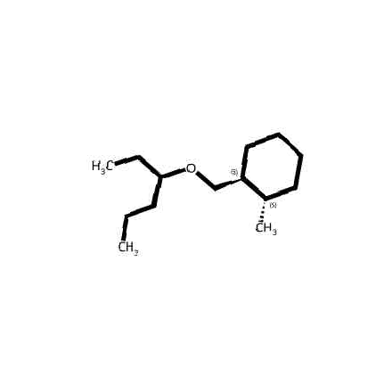 CCCC(CC)OC[C@H]1CCCC[C@@H]1C